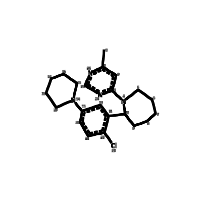 Cc1cc(N2CCCCCC2c2cc(N3CCCCC3)ccc2Cl)ncn1